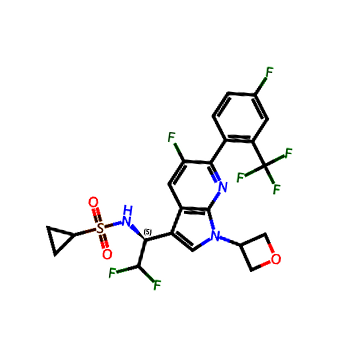 O=S(=O)(N[C@@H](c1cn(C2COC2)c2nc(-c3ccc(F)cc3C(F)(F)F)c(F)cc12)C(F)F)C1CC1